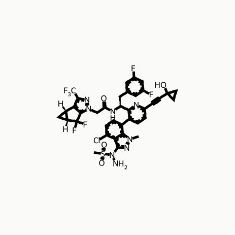 Cn1nc(N(N)S(C)(=O)=O)c2c(Cl)ccc(-c3ccc(C#CC4(O)CC4)nc3[C@H](Cc3cc(F)cc(F)c3)NC(=O)Cn3nc(C(F)(F)F)c4c3C(F)(F)[C@@H]3C[C@H]43)c21